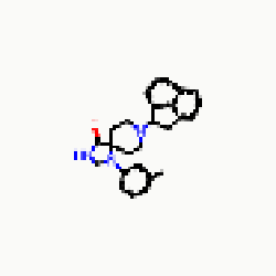 Cc1cccc(N2CNC(=O)C23CCN(C2Cc4cccc5cccc2c45)CC3)c1